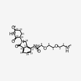 CNCCOCCOCC(=O)Nc1cccc2c1CN(C1CCC(=O)NC1=O)C2=O